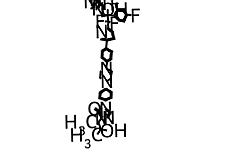 CC(O)C(C)n1ncn(-c2ccc(N3CCN(c4ccc(-c5ccc(C(F)(F)C(O)(Cn6cnnn6)c6ccc(F)cc6F)nc5)cc4)CC3)cc2)c1=O